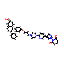 O=C1CCCC(=O)N1n1cc(-c2ccc(N3CCN(CCCOc4ccc([C@@H]5c6ccc(O)cc6CC[C@@H]5c5ccccc5)cc4)CC3)nc2)cn1